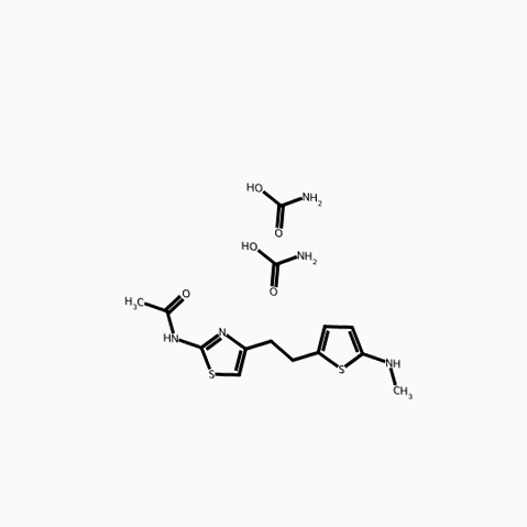 CNc1ccc(CCc2csc(NC(C)=O)n2)s1.NC(=O)O.NC(=O)O